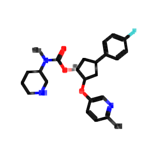 CC(C)(C)N(C(=O)O[C@@H]1CC(c2ccc(F)cc2)CC1Oc1ccc(C#N)nc1)C1CCCNC1